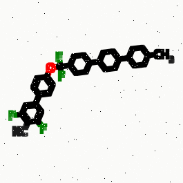 CC1CCC(C2CCC(C3CCC(C(F)(F)Oc4ccc(-c5cc(F)c(C#N)c(F)c5)cc4)CC3)CC2)CC1